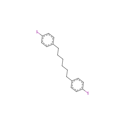 Ic1ccc(CCCCCCc2ccc(I)cc2)cc1